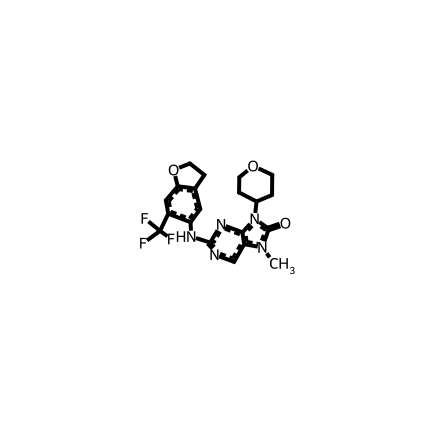 Cn1c(=O)n(C2CCOCC2)c2nc(Nc3cc4c(cc3C(F)(F)F)OCC4)ncc21